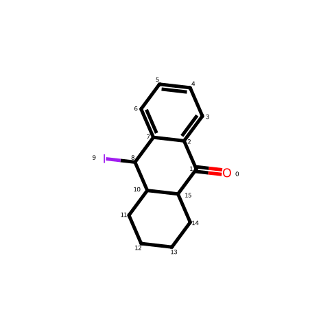 O=C1c2ccccc2C(I)C2CCCCC12